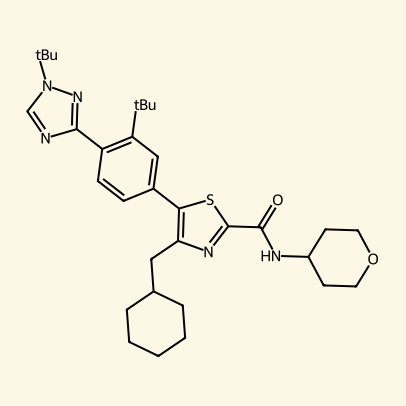 CC(C)(C)c1cc(-c2sc(C(=O)NC3CCOCC3)nc2CC2CCCCC2)ccc1-c1ncn(C(C)(C)C)n1